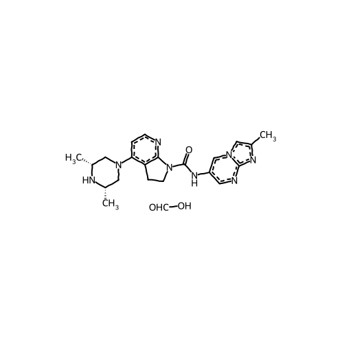 Cc1cn2cc(NC(=O)N3CCc4c(N5C[C@@H](C)N[C@@H](C)C5)ccnc43)cnc2n1.O=CO